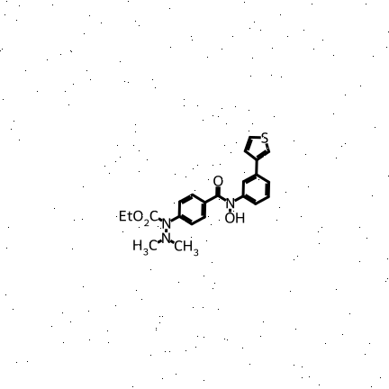 CCOC(=O)N(c1ccc(C(=O)N(O)c2cccc(-c3ccsc3)c2)cc1)N(C)C